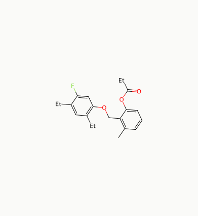 CCC(=O)Oc1cccc(C)c1COc1cc(F)c(CC)cc1CC